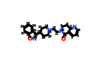 O=C1c2cccnc2CCN1CCN1CCC(c2noc3ccccc23)CC1